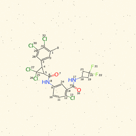 Cc1cc(C2C(C(=O)Nc3ccc(Cl)c(C(=O)NC4CC(F)(F)C4)c3)C2(Cl)Cl)cc(Cl)c1Cl